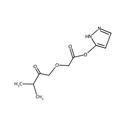 CC(C)C(=O)COCC(=O)Oc1ccn[nH]1